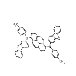 Cc1ccc(N(C2=C3C=Cc4ccc(N(c5ccc(C)cc5)c5ccc6c(c5)sc5ccccc56)c5c4C3C(C=C2)C=C5)c2ccc3c(c2)sc2ccccc23)cc1